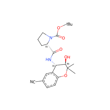 CC(C)(C)OC(=O)N1CCC[C@H]1C(=O)N[C@H]1c2cc(C#N)ccc2OC(C)(C)[C@@H]1O